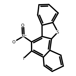 O=[N+]([O-])c1c(I)c2ccccc2c2sc3ccccc3c12